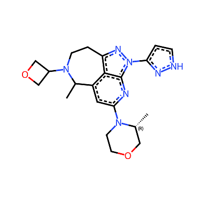 CC1c2cc(N3CCOC[C@H]3C)nc3c2c(nn3-c2cc[nH]n2)CCN1C1COC1